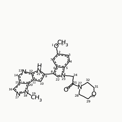 COc1ccc2c(c1)c(-c1cc3c(ncc4cnn(C)c43)[nH]1)cn2CC(=O)N1CCOCC1